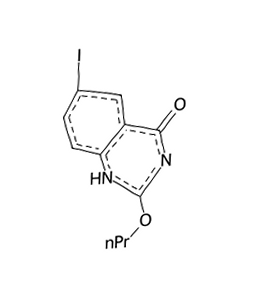 CCCOc1nc(=O)c2cc(I)ccc2[nH]1